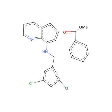 COC(=O)c1ccccc1.Clc1cc(Cl)cc(CNc2cccc3cccnc23)c1